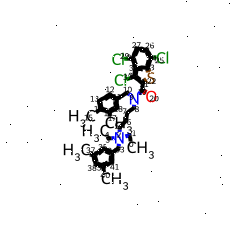 CC[N+](CC)(CCCCN(Cc1ccc(C)c(C)c1)C(=O)c1sc2c(Cl)ccc(Cl)c2c1Cl)Cc1cc(C)cc(C)c1